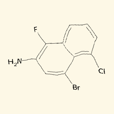 Nc1cc(Br)c2c(Cl)cccc2c1F